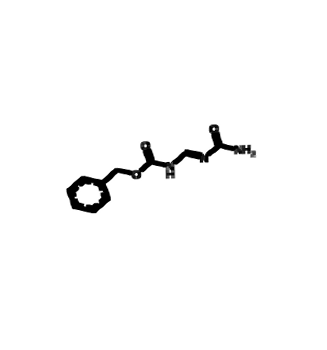 NC(=O)N=CNC(=O)OCc1ccccc1